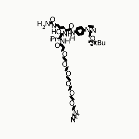 CC(C)[C@H](NC(=O)CCOCCOCCOCCOCCOCCOCCN=[N+]=[N-])C(=O)N[C@@H](CCCNC(N)=O)C(=O)Nc1ccc(-n2ccnc2CO[Si](C)(C)C(C)(C)C)cc1